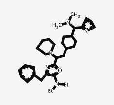 CCN(CC)c1oc(C(CC2CCC(C(c3cccs3)N(C)C)CC2)N2CCCCC2)nc1Cc1ccccc1